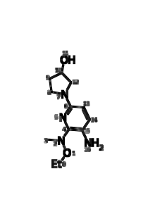 CCON(C)c1nc(N2CCC(O)C2)ccc1N